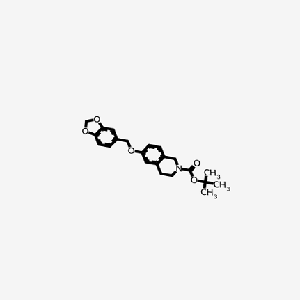 CC(C)(C)OC(=O)N1CCc2cc(OCc3ccc4c(c3)OCO4)ccc2C1